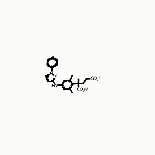 Cc1cc(Nc2ccn(-c3ccccc3)n2)cc(C)c1C(C)(CCC(=O)O)C(=O)O